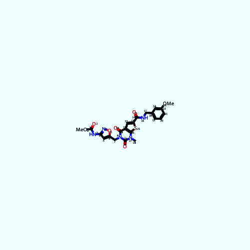 COC(=O)Nc1cc(Cn2c(=O)c3cc(C(=O)NCc4cccc(OC)c4)sc3n(C)c2=O)on1